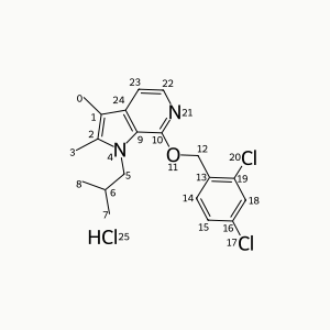 Cc1c(C)n(CC(C)C)c2c(OCc3ccc(Cl)cc3Cl)nccc12.Cl